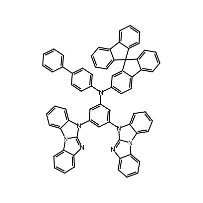 c1ccc(-c2ccc(N(c3cc(-n4c5ccccc5n5c6ccccc6nc45)cc(-n4c5ccccc5n5c6ccccc6nc45)c3)c3ccc4c(c3)C3(c5ccccc5-c5ccccc53)c3ccccc3-4)cc2)cc1